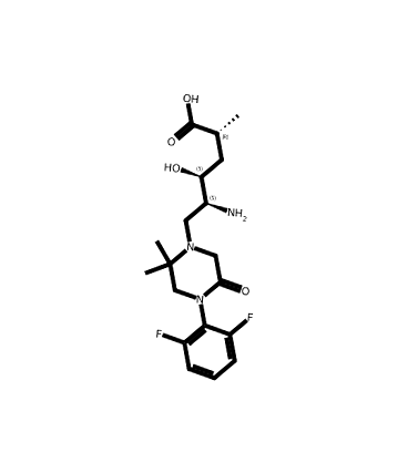 C[C@H](C[C@H](O)[C@@H](N)CN1CC(=O)N(c2c(F)cccc2F)CC1(C)C)C(=O)O